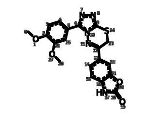 COc1ccc(-c2nnc3n2N=C(c2ccc4[nH]c(=O)oc4c2)CS3)cc1OC